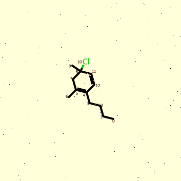 CCCCC1=C(C)CC(C)(Cl)C=C1